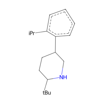 CC(C)c1ccccc1C1CCC(C(C)(C)C)NC1